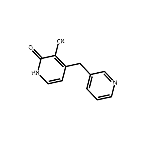 N#Cc1c(Cc2cccnc2)cc[nH]c1=O